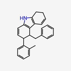 Cc1ccccc1C1C=Cc2[nH]c3c(c2C1Cc1ccccc1)C=CCC3